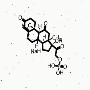 C[C@]12CCC(=O)C=C1CC[C@@H]1[C@@H]2C(=O)C[C@@]2(C)[C@H]1CC[C@]2(O)C(=O)COP(=O)(O)O.[NaH]